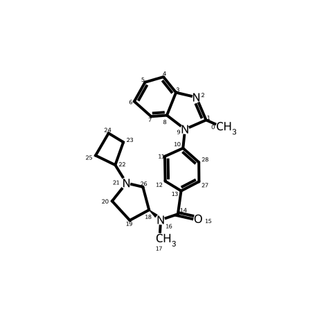 Cc1nc2ccccc2n1-c1ccc(C(=O)N(C)[C@H]2CCN(C3CCC3)C2)cc1